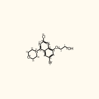 OCCOc1cc(Br)cc2c(N3CCOCC3)nc(Cl)nc12